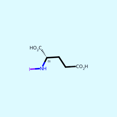 O=C(O)CC[C@H](NI)C(=O)O